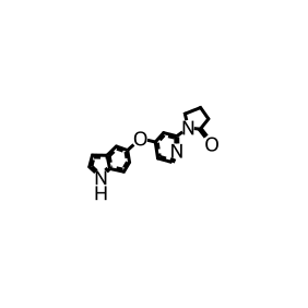 O=C1CCCN1c1cc(Oc2ccc3[nH]ccc3c2)ccn1